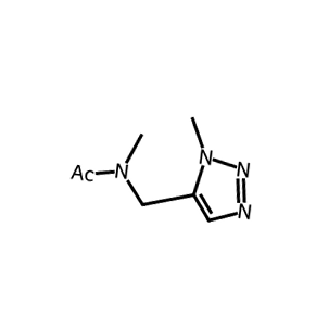 CC(=O)N(C)Cc1cnnn1C